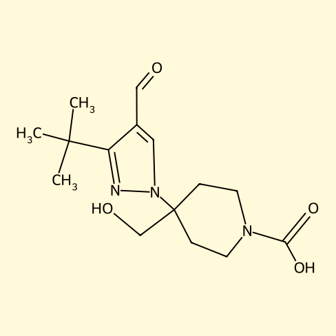 CC(C)(C)c1nn(C2(CO)CCN(C(=O)O)CC2)cc1C=O